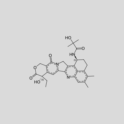 CC[C@@]1(O)C(=O)OCc2c1cc1n(c2=O)Cc2c-1nc1cc(C)c(C)c3c1c2[C@@H](NC(=O)C(C)(C)O)CC3